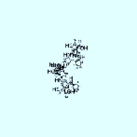 CC(O)N(c1nc(NC2=CC=C(C=Cc3ccc(Nc4nc(Nc5ccccc5)nc(N(C(C)O)C(C)O)n4)cc3)C(S(=O)(=O)O)(S(=O)(=O)O)C2)nc(Nc2ccccc2)n1)C(C)O.N.N